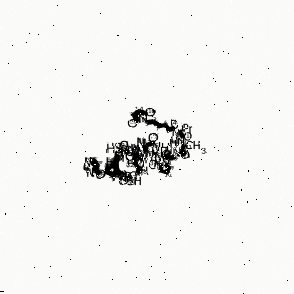 CC(C)[C@H](NC(=O)CCCCCN1C(=O)C=CC1=O)C(=O)N[C@@H](C)C(=O)NCC(=O)N1CCC[C@@H]1C(=O)Nc1nc2c(ncn2[C@@H]2O[C@H]3CO[P@@](=O)(S)O[C@H]4C[C@H](Oc5ccncn5)C[C@@H]4CO[P@@](=O)(S)O[C@@H]2[C@H](O)C3)c(=O)[nH]1